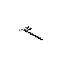 CCCCCCCCCCCCN(CC(=O)O)N(CC)CC